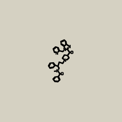 CN(CC(CCN1CCC(C(=O)c2nc3ccccc3n2Cc2ccccn2)CC1)c1ccccc1)C(=O)c1ccccc1